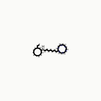 CCC1CCCCCCCCC(NCCCCCCCC2=C/C=C\C=C/C=C\C=C/C=C\2)C1